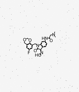 CN(C)CC(=O)Nc1ccc2c(c1)N(Cc1cc(F)cc3c1OCOC3)C(=O)/C2=N\O